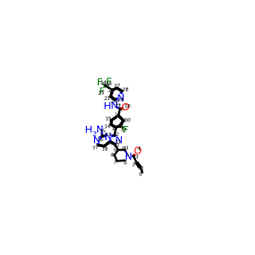 CC#CC(=O)N1CCCC(c2nc(-c3ccc(C(=O)Nc4cc(C(F)(F)F)ccn4)cc3F)n3c(N)nccc23)C1